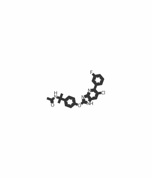 CC(=O)NC(C)(C)c1ccc(Oc2nc3nc(-c4cccc(F)c4)c(Cl)cc3[nH]2)cc1